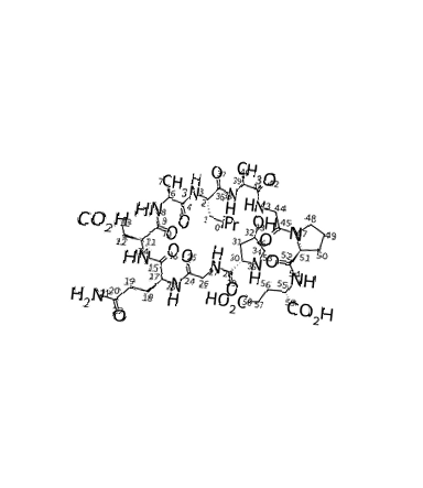 CC(C)C[C@H](NC(=O)[C@H](C)NC(=O)[C@H](CC(=O)O)NC(=O)[C@H](CCC(N)=O)NC(=O)CNC(=O)[C@@H]1C[C@@H](O)CN1)C(=O)N[C@@H](C)C(=O)NCC(=O)N1CCC[C@H]1C(=O)N[C@@H](CCC(=O)O)C(=O)O